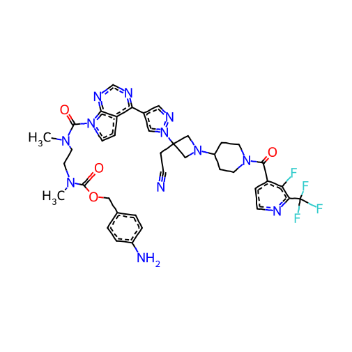 CN(CCN(C)C(=O)n1ccc2c(-c3cnn(C4(CC#N)CN(C5CCN(C(=O)c6ccnc(C(F)(F)F)c6F)CC5)C4)c3)ncnc21)C(=O)OCc1ccc(N)cc1